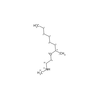 CCCCCCC(C)OCCNC